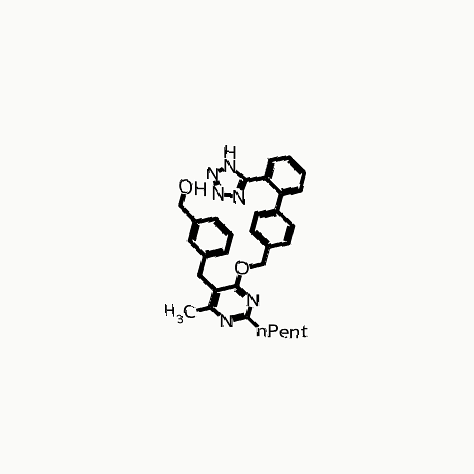 CCCCCc1nc(C)c(Cc2cccc(CO)c2)c(OCc2ccc(-c3ccccc3-c3nnn[nH]3)cc2)n1